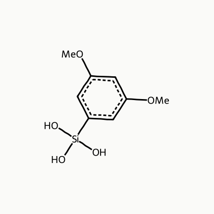 COc1cc(OC)cc([Si](O)(O)O)c1